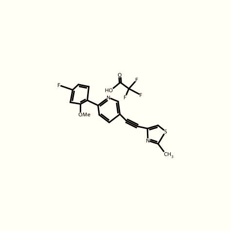 COc1cc(F)ccc1-c1ccc(C#Cc2csc(C)n2)cn1.O=C(O)C(F)(F)F